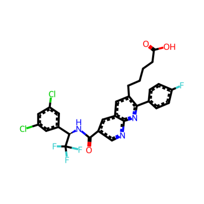 O=C(O)CCCCc1cc2cc(C(=O)N[C@H](c3cc(Cl)cc(Cl)c3)C(F)(F)F)cnc2nc1-c1ccc(F)cc1